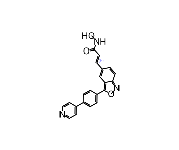 O=C(/C=C/c1ccc2noc(-c3ccc(-c4ccncc4)cc3)c2c1)NO